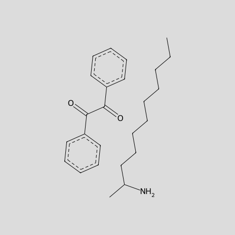 CCCCCCCCCC(C)N.O=C(C(=O)c1ccccc1)c1ccccc1